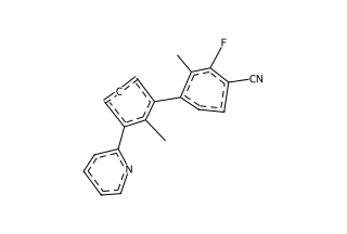 Cc1c(-c2ccccn2)cccc1-c1ccc(C#N)c(F)c1C